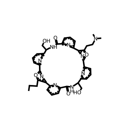 CCCc1oc2nc1-c1cccc(n1)C(=O)NC(CO)c1cccc(n1)-c1nc(c(CCN(C)C)o1)-c1cccc(n1)C(=O)NC(CO)c1cccc-2n1